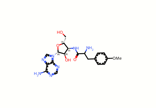 COc1ccc(CC(N)C(=O)N[C@H]2[C@@H](O)[C@H](n3cnc4c(N)ncnc43)O[C@@H]2CO)cc1